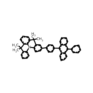 CC1(C)c2ccccc2N2c3ccc(-c4ccc(-c5c6ccccc6c(-c6ccccc6)c6ccccc56)cc4)cc3C(C)(C)c3cccc1c32